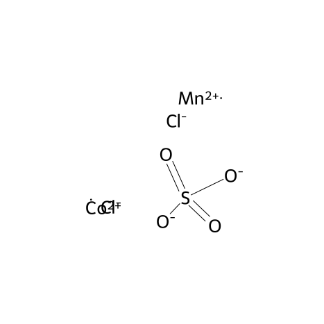 O=S(=O)([O-])[O-].[Cl-].[Cl-].[Co+2].[Mn+2]